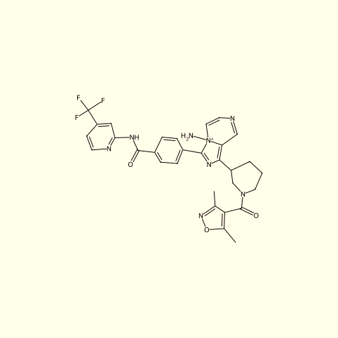 Cc1noc(C)c1C(=O)N1CCCC(C2=C3C=NC=C[N+]3(N)C(c3ccc(C(=O)Nc4cc(C(F)(F)F)ccn4)cc3)=N2)C1